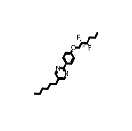 CCCCCCc1cnc(-c2ccc(OC[C@H](F)[C@@H](F)CCC)cc2)nc1